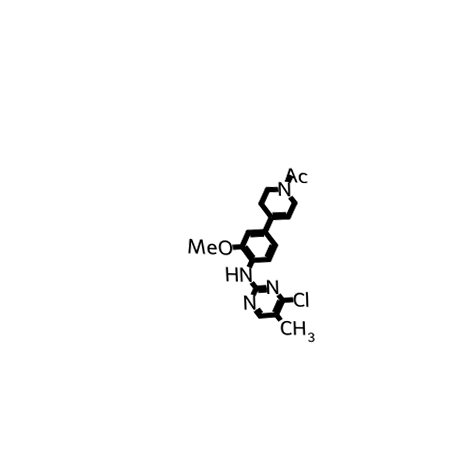 COc1cc(C2=CCN(C(C)=O)CC2)ccc1Nc1ncc(C)c(Cl)n1